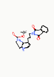 CC(C)(C)OC(=O)N1CCc2nccc(CCCN3C(=O)c4ccccc4C3=O)c21